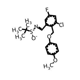 COc1ccc(OCc2c(Cl)cc(F)cc2/C=N/[S@+]([O-])C(C)(C)C)cc1